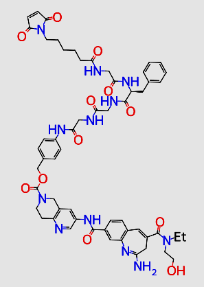 CCN(CCO)C(=O)C1=Cc2ccc(C(=O)Nc3cnc4c(c3)CN(C(=O)OCc3ccc(NC(=O)CNC(=O)CNC(=O)[C@H](Cc5ccccc5)NC(=O)CNC(=O)CCCCCN5C(=O)C=CC5=O)cc3)CC4)cc2N=C(N)C1